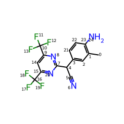 Cc1cc(C(C#N)c2nc(C(F)(F)F)cc(C(F)(F)F)n2)ccc1N